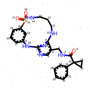 O=C(NCc1cnc2nc1NCCCNS(=O)(=O)c1cccc(c1)N2)C1(c2ccccc2)CC1